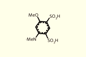 C[N]c1cc(OC)c(S(=O)(=O)O)cc1S(=O)(=O)O